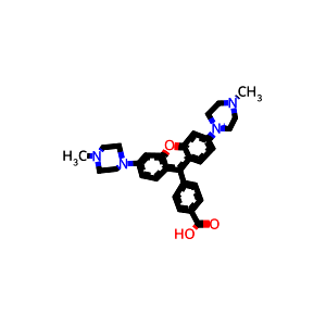 CN1CCN(c2ccc3c(-c4ccc(C(=O)O)cc4)c4ccc(=[N+]5CCN(C)CC5)cc-4oc3c2)CC1